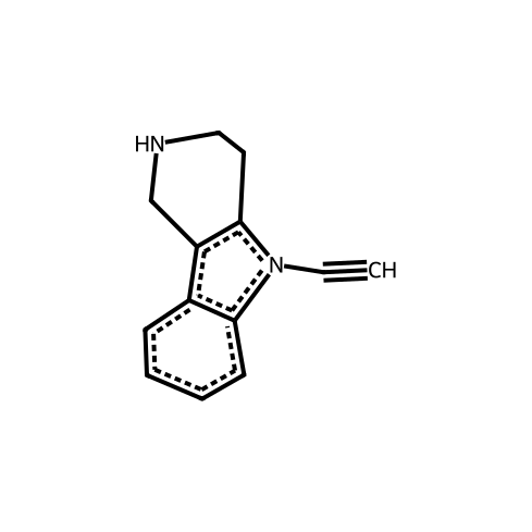 C#Cn1c2c(c3ccccc31)CNCC2